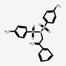 C=C(CN(S(=O)(=O)c1ccc(C)cc1)S(=O)(=O)c1ccc(C)cc1)c1ccccc1